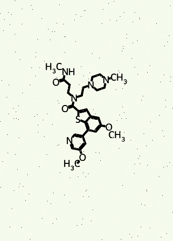 CNC(=O)CCN(CCN1CCN(C)CC1)C(=O)c1cc2cc(OC)cc(-c3cncc(OC)c3)c2s1